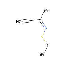 C#C/C(=N\SCC(C)C)C(C)C